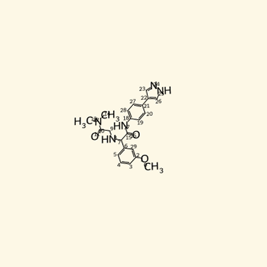 COc1cccc(C(NCC(=O)N(C)C)C(=O)Nc2ccc(-c3cn[nH]c3)cc2)c1